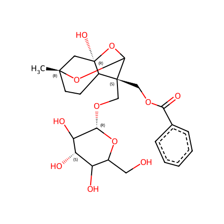 C[C@]12CCC3[C@@](COC(=O)c4ccccc4)(CO[C@@H]4OC(CO)C(O)[C@H](O)C4O)C(O1)O[C@]3(O)C2